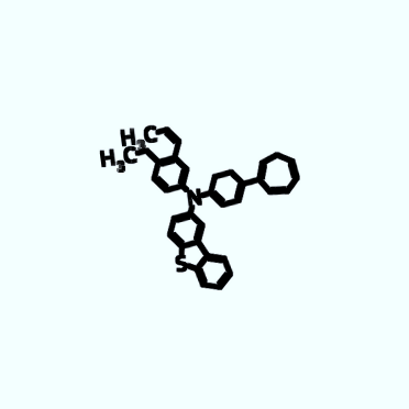 C/C=C\c1cc(N(C2=CC=C(C3=CCC=CC=C3)CC2)c2ccc3sc4ccccc4c3c2)ccc1CC